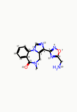 CN1Cc2c(-c3noc(CN)n3)ncn2-c2ccccc2C1=O